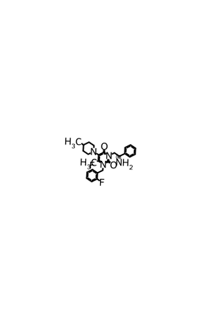 Cc1c(N2CCC(C)CC2)c(=O)n(C[C@H](N)c2ccccc2)c(=O)n1Cc1c(F)cccc1F